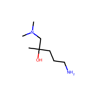 CN(C)CC(C)(O)CCCN